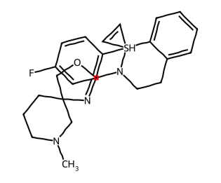 CN1CCCC2(COC(N3CCc4ccccc4[SH]34(c3ccc(F)cc3)C=C4)=N2)C1